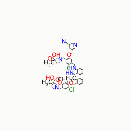 COc1cc(OCc2cccc(-c3cccc(NCc4cc(OCc5cncc(C#N)c5)c(CN5CCC(C)(C(=O)O)C5)cc4Cl)c3C=N)c2C)c(Cl)cc1CN1CCC(C)(C(=O)O)C1